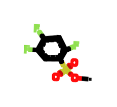 [CH2]OS(=O)(=O)c1cc(F)c(F)cc1F